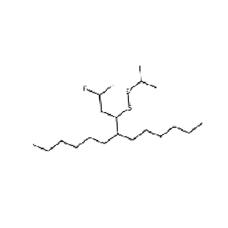 CCCCCCC(CCCCCC)C(CC(F)F)SSC(C)C